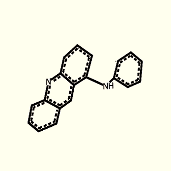 [c]1ccccc1Nc1cccc2nc3ccccc3cc12